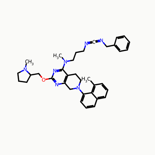 Cc1cccc2cccc(N3CCc4c(nc(OCC5CCCN5C)nc4N(C)CCCN=C=NCc4ccccc4)C3)c12